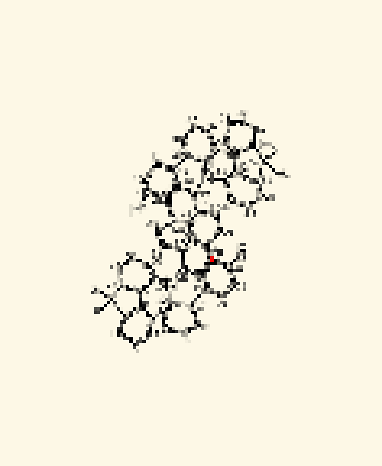 CC1(C)c2ccccc2-c2c(N(c3ccccc3-c3ccc(F)cc3)c3ccc4ccc5c(N(c6ccccc6-c6ccc(F)cc6)c6cccc7c6-c6ccccc6C7(C)C)ccc6ccc3c4c65)cccc21